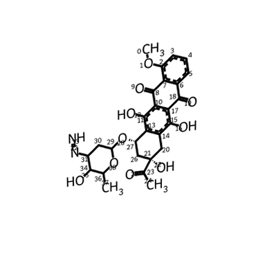 COc1cccc2c1C(=O)c1c(O)c3c(c(O)c1C2=O)C[C@@](O)(C(C)=O)C[C@@H]3OC1CC(N=N)C(O)C(C)O1